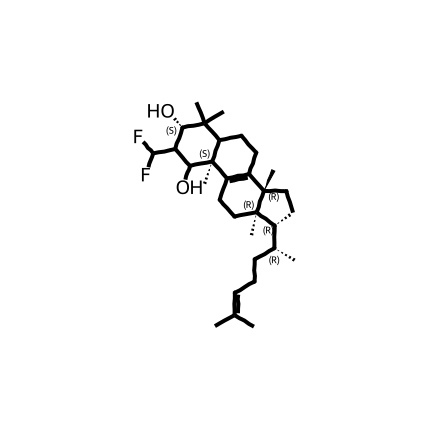 CC(C)=CCC[C@@H](C)[C@H]1CC[C@@]2(C)C3=C(CC[C@]12C)[C@@]1(C)C(O)C(C(F)F)[C@H](O)C(C)(C)C1CC3